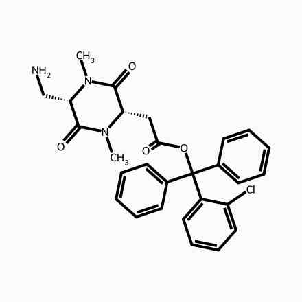 CN1C(=O)[C@H](CC(=O)OC(c2ccccc2)(c2ccccc2)c2ccccc2Cl)N(C)C(=O)[C@@H]1CN